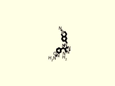 N#CB1CCc2cc(Cn3nc(-c4ccc5oc(N)nc5c4)c4c(N)ncnc43)ccc2C1